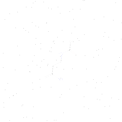 C=C(N)CCNC(=O)CC